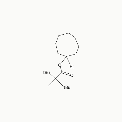 CCC1(OC(=O)C(C)(C(C)(C)C)C(C)(C)C)CCCCCCC1